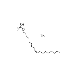 CCCCCCCC/C=C\CCCCCCCCOC(=S)S.[Zn]